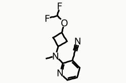 CN(c1ncccc1C#N)C1CC(OC(F)F)C1